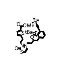 COC(=O)c1ccc(CCN2C(=O)SC=CN2CCC(Cc2cccc(C#C[Si](C)(C)C)c2)O[Si](C)(C)C(C)(C)C)s1